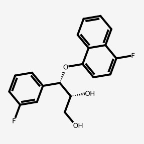 OC[C@@H](O)[C@@H](Oc1ccc(F)c2ccccc12)c1cccc(F)c1